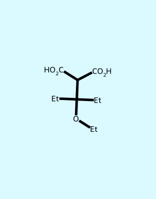 CCOC(CC)(CC)C(C(=O)O)C(=O)O